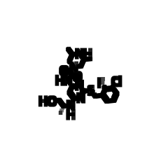 CC1CN(S(=O)(=O)Nc2cc(N[C@H](C)CO)nc(SCc3cccc(Cl)c3F)n2)CC(C)N1